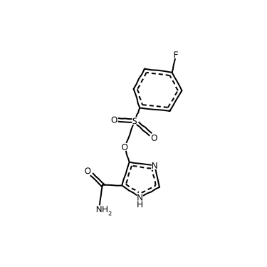 NC(=O)c1[nH]cnc1OS(=O)(=O)c1ccc(F)cc1